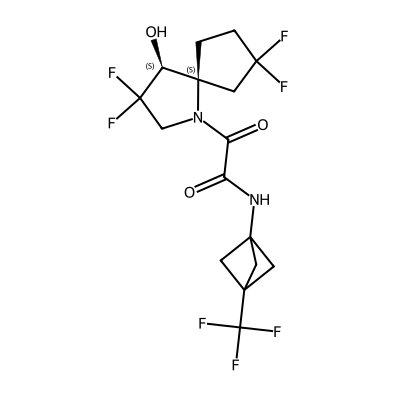 O=C(NC12CC(C(F)(F)F)(C1)C2)C(=O)N1CC(F)(F)[C@@H](O)[C@@]12CCC(F)(F)C2